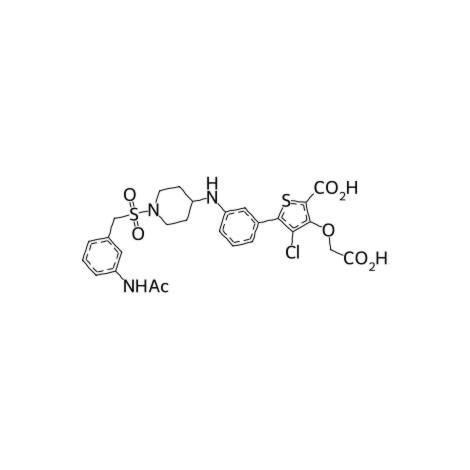 CC(=O)Nc1cccc(CS(=O)(=O)N2CCC(Nc3cccc(-c4sc(C(=O)O)c(OCC(=O)O)c4Cl)c3)CC2)c1